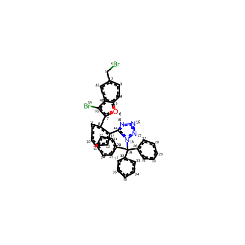 BrCc1ccc2oc(-c3ccccc3-c3nnnn3C(c3ccccc3)(c3ccccc3)c3ccccc3)c(Br)c2c1